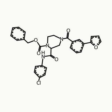 O=C(Nc1ccc(Cl)cc1)C1CN(C(=O)c2cccc(-c3ccco3)c2)CCN1C(=O)OCc1ccccc1